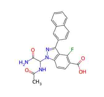 CC(=O)NC(C(N)=O)n1nc(-c2ccc3ccccc3c2)c2c(F)c(C(=O)O)ccc21